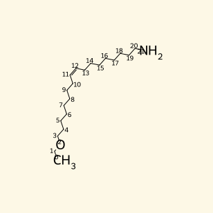 CCOCCCCCCCC/C=C\CCCCCCCCN